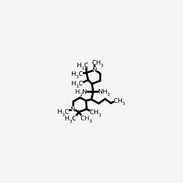 CCCCC(C1CCN(C)C(C)(C)C1C)C(N)(N)C1CCN(C)C(C)(C)C1C